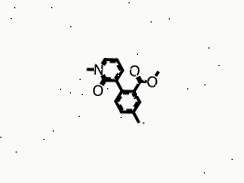 [CH2]c1ccc(-c2cccn(C)c2=O)c(C(=O)OC)c1